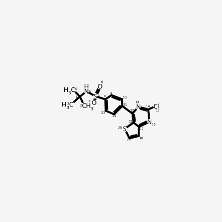 CC(C)(C)NS(=O)(=O)c1ccc(-c2nc(Cl)nc3ccsc23)cc1